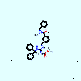 CN(Cc1ccccc1)C(=O)c1cccc(CN(C)C(=NC(=O)OC(C)(C)C)NC(C=O)(c2ccccc2)c2ccccc2)c1